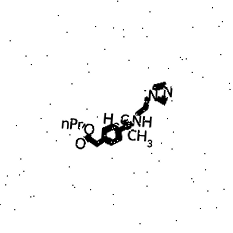 CCCOC(=O)Cc1ccc(C(C)(C)NCCCn2ccnc2)cc1